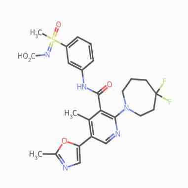 Cc1ncc(-c2cnc(N3CCCC(F)(F)CC3)c(C(=O)Nc3cccc(S(C)(=O)=NC(=O)O)c3)c2C)o1